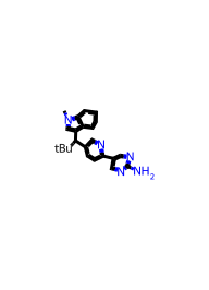 Cn1cc(C(c2ccc(-c3cnc(N)nc3)nc2)C(C)(C)C)c2ccccc21